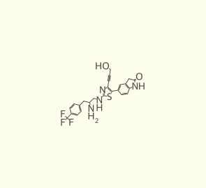 N[C@H](CNc1nc(C#CCO)c(-c2ccc3c(c2)CC(=O)N3)s1)Cc1ccc(C(F)(F)F)cc1